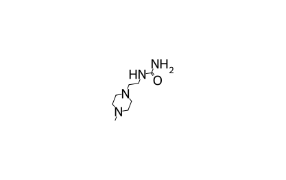 CN1CCN(CCNC(N)=O)CC1